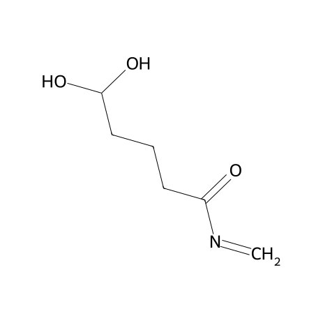 C=NC(=O)CCCC(O)O